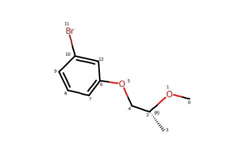 CO[C@H](C)COc1cccc(Br)c1